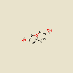 C=CC=C.OCCOCCO